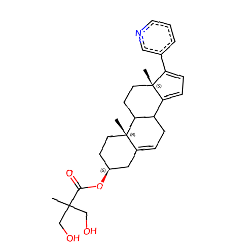 CC(CO)(CO)C(=O)O[C@H]1CC[C@@]2(C)C(=CCC3C4=CC=C(c5cccnc5)[C@@]4(C)CCC32)C1